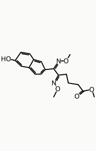 CON=C(CCCC(=O)OC)C(=NOC)c1ccc2cc(O)ccc2c1